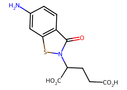 Nc1ccc2c(=O)n(C(CCC(=O)O)C(=O)O)sc2c1